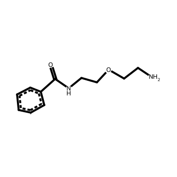 NCCOCCNC(=O)c1c[c]ccc1